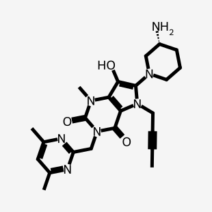 CC#CCn1c(N2CCC[C@@H](N)C2)c(O)c2c1c(=O)n(Cc1nc(C)cc(C)n1)c(=O)n2C